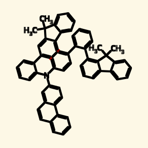 CC1(C)c2ccccc2-c2ccc(-c3ccccc3N(c3ccc(-c4ccccc4-c4cccc5c4C(C)(C)c4ccccc4-5)cc3)c3ccc4c(ccc5ccccc54)c3)cc21